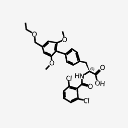 CCOCc1cc(OC)c(-c2ccc(C[C@H](NC(=O)c3c(Cl)cccc3Cl)C(=O)O)cc2)c(OC)c1